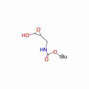 CC(C)(C)OC(=O)NCC1OC1O